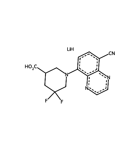 N#Cc1ccc(N2CC(C(=O)O)CC(F)(F)C2)c2nccnc12.[LiH]